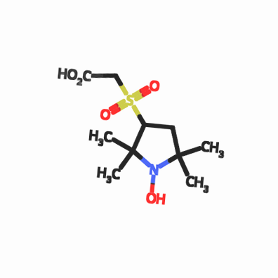 CC1(C)CC(S(=O)(=O)CC(=O)O)C(C)(C)N1O